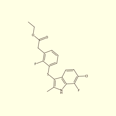 CCOC(=O)Cc1cccc(Sc2c(C)[nH]c3c(F)c(Cl)ccc23)c1F